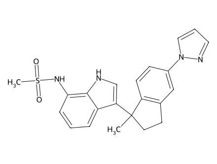 CC1(c2c[nH]c3c(NS(C)(=O)=O)cccc23)CCc2cc(-n3cccn3)ccc21